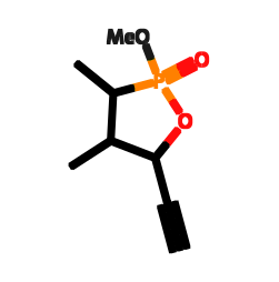 C#CC1OP(=O)(OC)C(C)C1C